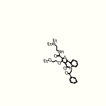 CCOCCOc1c(C(=O)NCCN(CC)CC)sc2c1c(=O)n(CC(=O)c1ccccc1)c1ccccc21